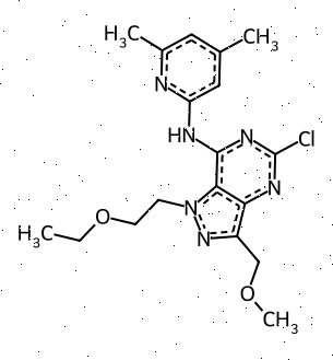 CCOCCn1nc(COC)c2nc(Cl)nc(Nc3cc(C)cc(C)n3)c21